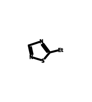 [CH2]Cc1ncns1